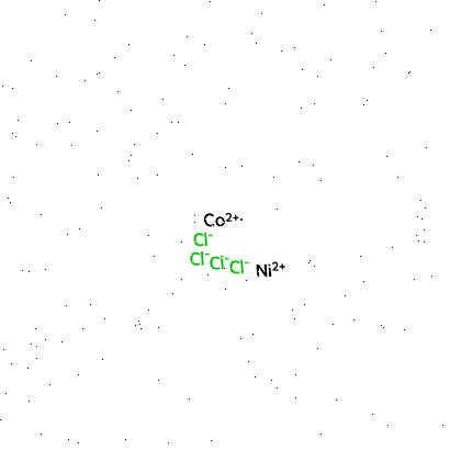 [Cl-].[Cl-].[Cl-].[Cl-].[Co+2].[Ni+2]